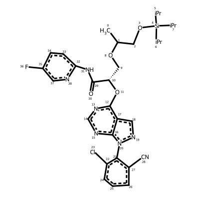 CC(CO[Si](C(C)C)(C(C)C)C(C)C)OC[C@H](Oc1ncnc2c1cnn2-c1c(Cl)cccc1C#N)C(=O)Nc1ccc(F)cn1